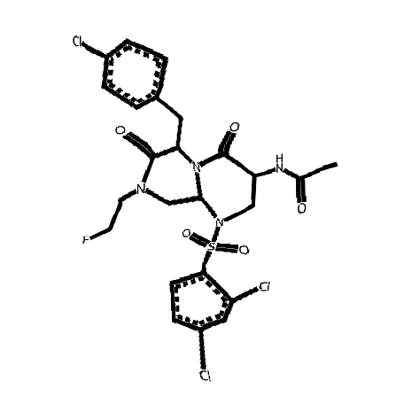 CC(=O)NC1CN(S(=O)(=O)c2ccc(Cl)cc2Cl)C2CN(CCF)C(=O)C(Cc3ccc(Cl)cc3)N2C1=O